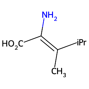 CC(=C(N)C(=O)O)C(C)C